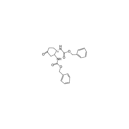 O=C1CC[C@H](NC(=O)OCc2ccccc2)C(NC(=O)OCc2ccccc2)C1